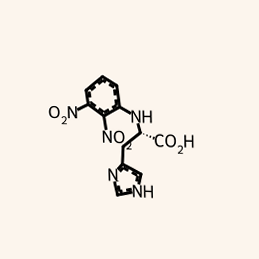 O=C(O)[C@H](Cc1c[nH]cn1)Nc1cccc([N+](=O)[O-])c1[N+](=O)[O-]